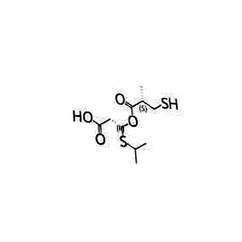 CC(C)S[C@H](CC(=O)O)OC(=O)[C@H](C)CS